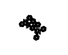 c1ccc(-c2cc(-c3ccc(-c4sc5c(c(-c6ccccc6)nc6ccccc65)c4-c4cccc5c4sc4ccccc45)cc3)nc(-c3ccccc3)n2)cc1